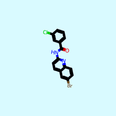 O=C(Nc1ccc2cc(Br)ccc2n1)c1cccc(Cl)c1